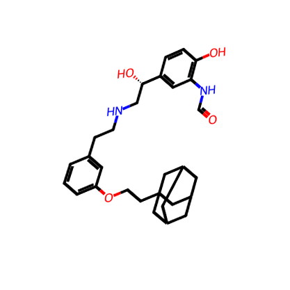 O=CNc1cc([C@@H](O)CNCCc2cccc(OCCC34CC5CC(CC(C5)C3)C4)c2)ccc1O